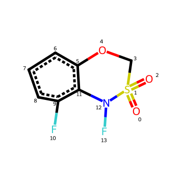 O=S1(=O)COc2cccc(F)c2N1F